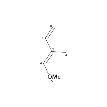 C=C/C(C)=C/OC